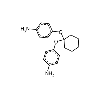 Nc1ccc(OC2(Oc3ccc(N)cc3)CCCCC2)cc1